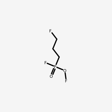 O=P(F)(CCCF)OF